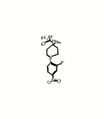 CNC1(C(N)=O)CCN(c2ccc([N+](=O)[O-])cc2F)CC1